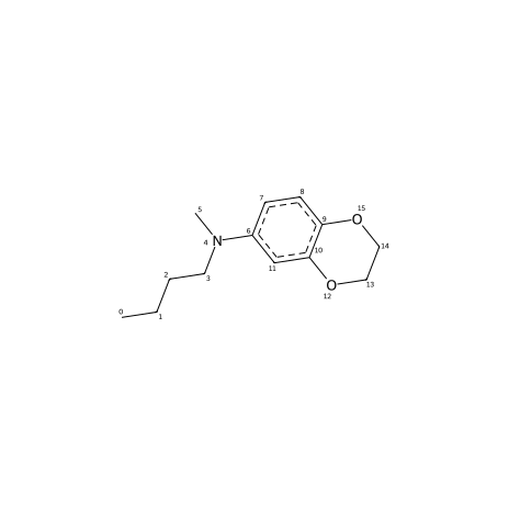 CCCCN(C)c1ccc2c(c1)OCCO2